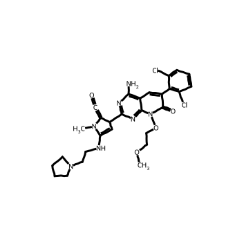 COCCOn1c(=O)c(-c2c(Cl)cccc2Cl)cc2c(N)nc(C3C=C(NCCN4CCCC4)N(C)C3=C=O)nc21